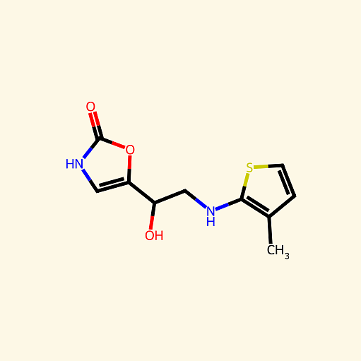 Cc1ccsc1NCC(O)c1c[nH]c(=O)o1